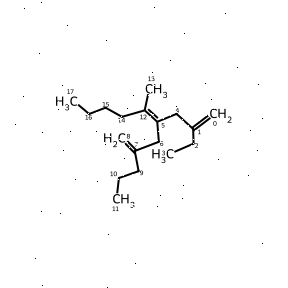 C=C(CC)CC(CC(=C)CCC)=C(C)CCCC